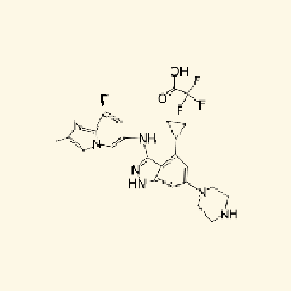 Cc1cn2cc(Nc3n[nH]c4cc(N5CCNCC5)cc(C5CC5)c34)cc(F)c2n1.O=C(O)C(F)(F)F